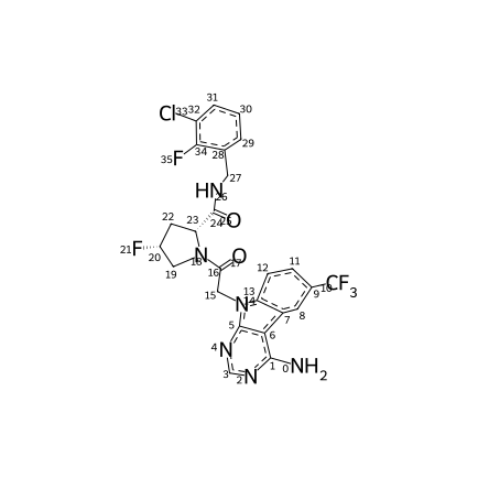 Nc1ncnc2c1c1cc(C(F)(F)F)ccc1n2CC(=O)N1C[C@H](F)C[C@@H]1C(=O)NCc1cccc(Cl)c1F